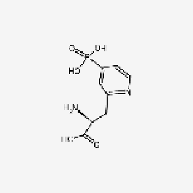 N[C@@H](Cc1cc(P(=O)(O)O)ccn1)C(=O)O